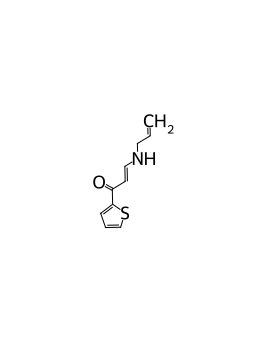 C=CCN/C=C/C(=O)c1cccs1